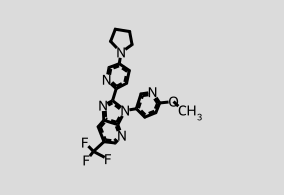 COc1ccc(-n2c(-c3ccc(N4CCCC4)cn3)nc3cc(C(F)(F)F)cnc32)cn1